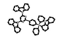 c1ccc([Si](c2ccccc2)(c2ccc(-c3nc(-n4c5ccccc5c5ccccc54)cc(-n4c5ccccc5c5ccccc54)n3)cc2)c2cccc3c2oc2ccccc23)cc1